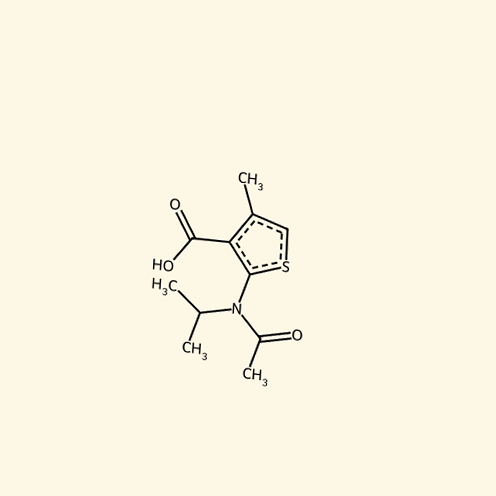 CC(=O)N(c1scc(C)c1C(=O)O)C(C)C